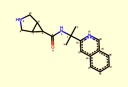 CC(C)(NC(=O)C1C2CNCC21)c1cc2ccccc2cn1